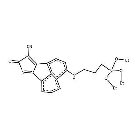 CCO[Si](CCCNc1ccc2c3c(cccc13)C1=NC(=O)C(C#N)=C12)(OCC)OCC